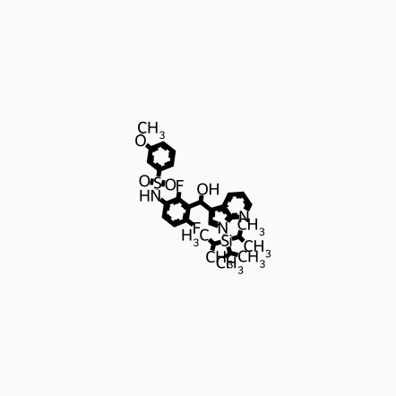 COc1cccc(S(=O)(=O)Nc2ccc(F)c(C(O)c3cn([Si](C(C)C)(C(C)C)C(C)C)c4ncccc34)c2F)c1